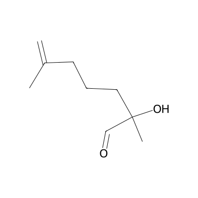 C=C(C)CCCC(C)(O)C=O